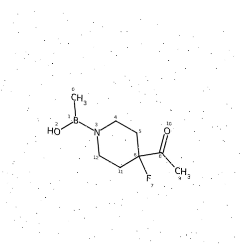 CB(O)N1CCC(F)(C(C)=O)CC1